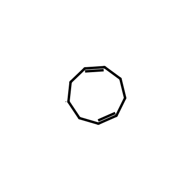 [CH]1C/C=C\CC/C=C\C1